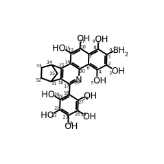 Bc1c(O)c(O)c2c(c1O)c(O)c(O)c1c3c(c(-c4c(O)c(O)c(O)c(O)c4O)nc12)C1CCC3C1